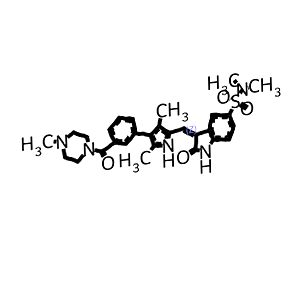 Cc1[nH]c(/C=C2\C(=O)Nc3ccc(S(=O)(=O)N(C)C)cc32)c(C)c1-c1cccc(C(=O)N2CCN(C)CC2)c1